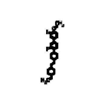 C=CC1CCC(CCC2CCC(c3ccc(-c4ccc(OCC)c(F)c4)cc3F)CC2)CC1